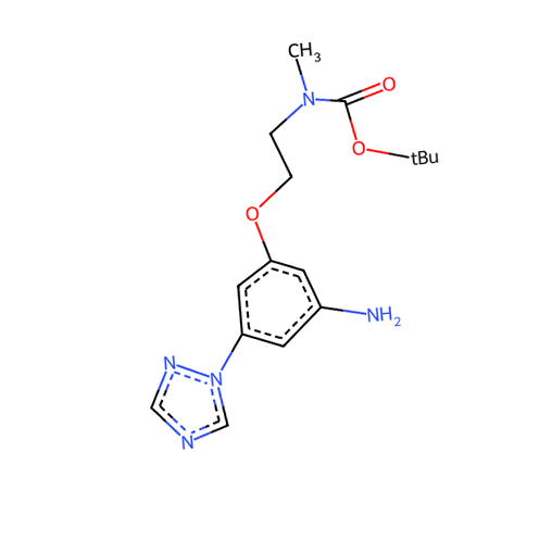 CN(CCOc1cc(N)cc(-n2cncn2)c1)C(=O)OC(C)(C)C